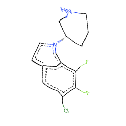 Fc1c(Cl)cc2ccn([C@H]3CCCNC3)c2c1F